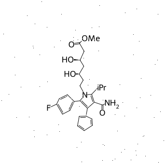 COC(=O)C[C@H](O)C[C@H](O)CCn1c(-c2ccc(F)cc2)c(-c2ccccc2)c(C(N)=O)c1C(C)C